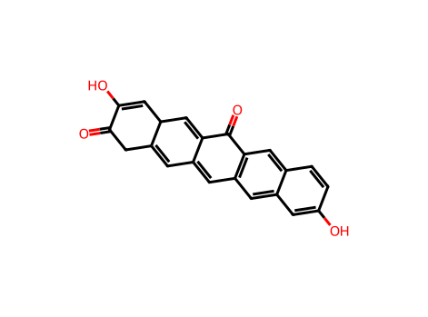 O=C1CC2=CC3=Cc4cc5cc(O)ccc5cc4C(=O)C3=CC2C=C1O